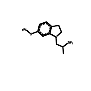 CCCSc1ccc2c(c1)N(CC(C)N)CC2